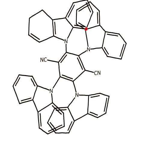 N#Cc1c(-n2c3c(c4ccccc42)CCC=C3)c(-n2c3ccccc3c3ccccc32)c(C#N)c(-n2c3ccccc3c3ccccc32)c1-n1c2ccccc2c2ccccc21